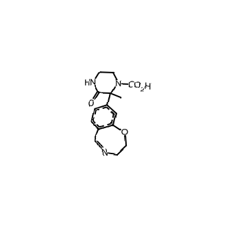 CC1(c2ccc3c(c2)OCCN=C3)C(=O)NCCN1C(=O)O